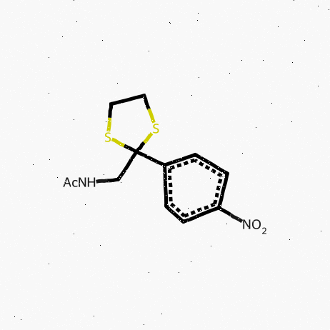 CC(=O)NCC1(c2ccc([N+](=O)[O-])cc2)SCCS1